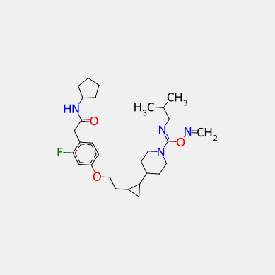 C=NO/C(=N\CC(C)C)N1CCC(C2CC2CCOc2ccc(CC(=O)NC3CCCC3)c(F)c2)CC1